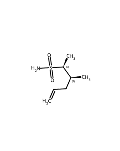 C=CC[C@H](C)[C@H](C)S(N)(=O)=O